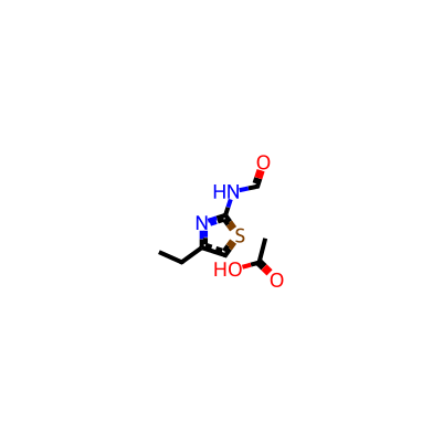 CC(=O)O.CCc1csc(NC=O)n1